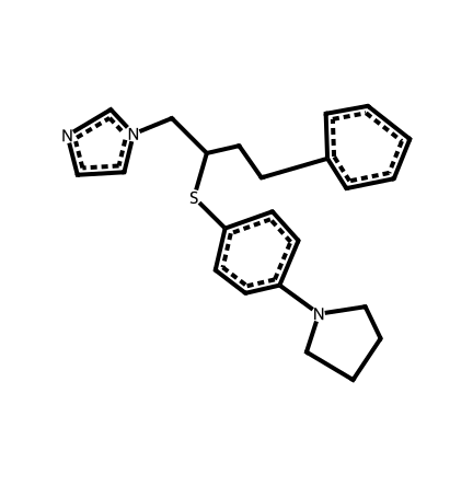 c1ccc(CCC(Cn2ccnc2)Sc2ccc(N3CCCC3)cc2)cc1